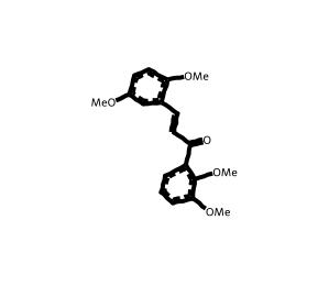 COc1ccc(OC)c(C=CC(=O)c2cccc(OC)c2OC)c1